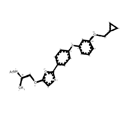 CC(=O)N[C@H](C)COc1cnc(-c2ccc(Oc3cccc(OCC4CC4)c3)cc2)o1